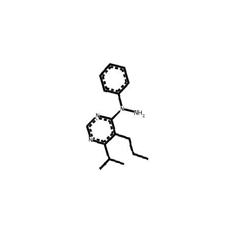 CCCc1c(C(C)C)ncnc1N(N)c1ccccc1